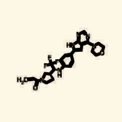 C=CC(=O)N1CC[C@H]([C@@H](Nc2ccc(-c3cc4c(N5CCOCC5)ncnc4[nH]3)cc2)C(F)(F)F)C1